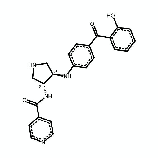 O=C(N[C@@H]1CNC[C@H]1Nc1ccc(C(=O)c2ccccc2O)cc1)c1ccncc1